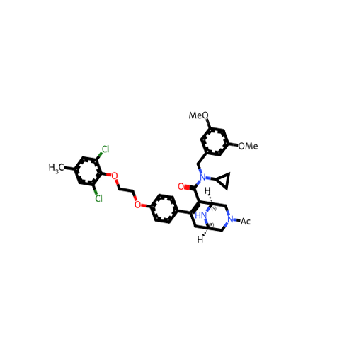 COc1cc(CN(C(=O)C2=C(c3ccc(OCCOc4c(Cl)cc(C)cc4Cl)cc3)C[C@@H]3CN(C(C)=O)C[C@H]2N3)C2CC2)cc(OC)c1